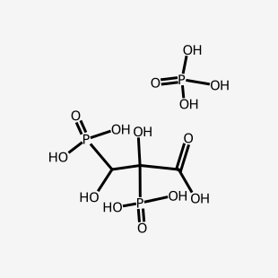 O=C(O)C(O)(C(O)P(=O)(O)O)P(=O)(O)O.O=P(O)(O)O